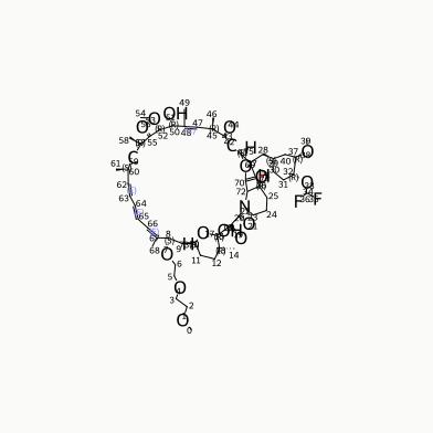 COCCOCCO[C@H]1C[C@@H]2CC[C@@H](C)[C@@](O)(O2)C(=O)C(=O)N2CCC[C@@H]3C(C[C@@H]4CC[C@@H](OC(F)F)[C@H](OC)C4)[C@H](CC(=O)[C@H](C)/C=C(\C)[C@@H](O)[C@@H](OC)C(=O)[C@H](C)C[C@H](C)/C=C/C=C/C=C/1C)OC(=O)C32